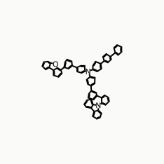 c1ccc(-c2ccc(-c3ccc(N(c4ccc(-c5cccc(-c6ccccc6-n6c7ccccc7c7ccccc76)c5)cc4)c4ccc(-c5cccc(-c6cccc7c6oc6ccccc67)c5)cc4)cc3)cc2)cc1